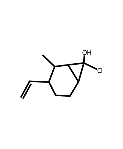 C=CC1CCC2C(C1C)C2(O)Cl